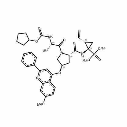 C=C[C@@H]1C[C@]1(NC(=O)[C@@H]1C[C@@H](Oc2cc(-c3ccccc3)nc3cc(OC)ccc23)CN1C(=O)[C@@H](NC(=O)OC1CCCC1)C(C)(C)C)P(=O)(OC)OC